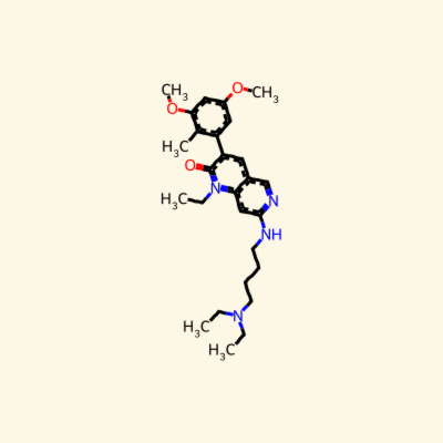 CCN(CC)CCCCNc1cc2c(cn1)cc(-c1cc(OC)cc(OC)c1C)c(=O)n2CC